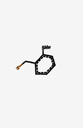 CSc1ccccc1C[S]